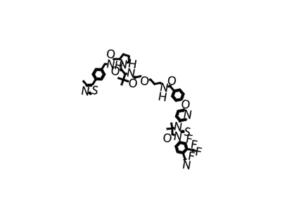 Cc1ncsc1-c1ccc(CNC(=O)C2CCCN2C(=O)C(NC(=O)COCCCNC(=O)c2ccc(Oc3ccc(N4C(=S)N(c5ccc(C#N)c(C(F)(F)F)c5F)C(=O)C4(C)C)cn3)cc2)C(C)(C)C)cc1